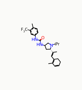 CC1=C(/C=C(\C)[C@@H]2CC(NC(=O)Nc3ccc(C)c(C(F)(F)F)c3)CN2C(C)C)CCC=C1